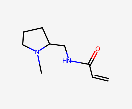 C=CC(=O)NCC1CCCN1C